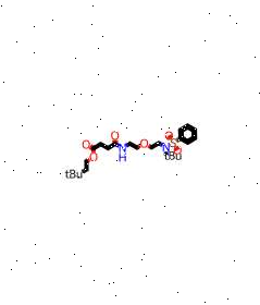 CC(C)(C)CCOC(=O)CCC(=O)NCCOCCN(C(C)(C)C)S(=O)(=O)c1ccccc1